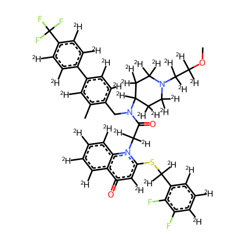 [2H]c1c([2H])c(F)c(F)c(C([2H])([2H])Sc2c([2H])c(=O)c3c([2H])c([2H])c([2H])c([2H])c3n2C([2H])([2H])C(=O)N(Cc2c([2H])c([2H])c(-c3c([2H])c([2H])c(C(F)(F)F)c([2H])c3[2H])c([2H])c2C)C2([2H])C([2H])([2H])C([2H])([2H])N(C([2H])([2H])C([2H])([2H])OC)C([2H])([2H])C2([2H])[2H])c1[2H]